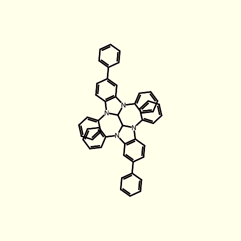 c1ccc(-c2ccc3c(c2)N(c2ccccc2)C(C2N(c4ccccc4)c4ccc(-c5ccccc5)cc4N2c2ccccc2)N3c2ccccc2)cc1